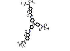 CCN(CC)c1ccc2cc(/C=C/c3ccc(N(c4ccc(/C=C/c5cc6ccc(N(CC)CC)cc6oc5=O)cc4)c4ccc(/C=C(\C#N)C(=O)O)cc4)cc3)c(=O)oc2c1